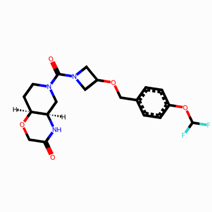 O=C1CO[C@H]2CCN(C(=O)N3CC(OCc4ccc(OC(F)F)cc4)C3)C[C@H]2N1